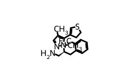 CC1=C(C2=CSCC2)[N+](C)([C@H](CN)Cc2ccccc2C(F)(F)F)N=C1